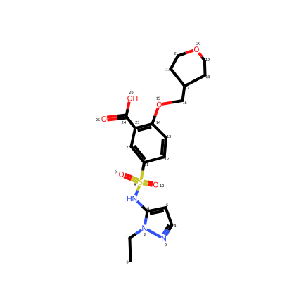 CCn1nccc1NS(=O)(=O)c1ccc(OCC2CCOCC2)c(C(=O)O)c1